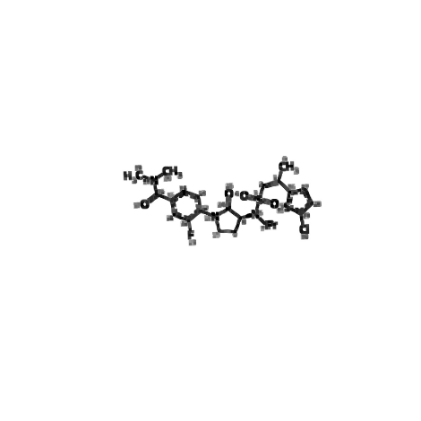 C/C(=C/S(=O)(=O)N(C(C)C)[C@H]1CCN(c2ccc(C(=O)N(C)C)cc2F)C1=O)c1ccc(Cl)s1